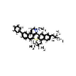 Cc1c2c(c(CC(C)(C)C)c3ccc(CC(C)(C)C)cc13)Sc1cc3ccc(C4CCCCC4)cc3c3cc[n+](C)c-2c13